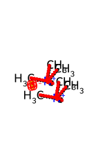 CCCCCCCCCCCC[N+](CCCCCCCCCCCC)(CCCCCCCCCCCC)Cc1ccccc1.CCCCCCCCCCCC[N+](CCCCCCCCCCCC)(CCCCCCCCCCCC)Cc1ccccc1.O=S(=O)([O-])[O-]